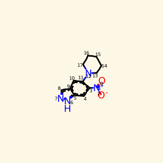 O=[N+]([O-])c1cc2[nH]ncc2cc1N1CCCCC1